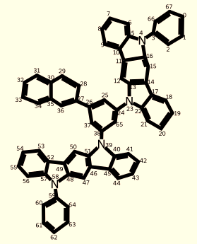 c1ccc(-n2c3ccccc3c3cc4c(cc32)c2ccccc2n4-c2cc(-c3ccc4ccccc4c3)cc(-n3c4ccccc4c4cc5c(cc43)c3ccccc3n5-c3ccccc3)c2)cc1